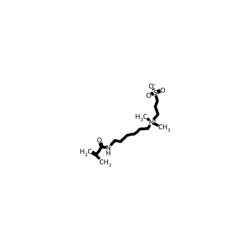 C=C(C)C(=O)NCCCCCC[N+](C)(C)CCCS(=O)(=O)[O-]